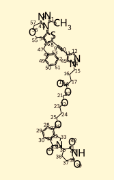 Cc1nnc2n1-c1sc(C#Cc3cnn(CCCC(=O)OCOCCCOc4cccc5c4CN(C4CCC(=O)NC4=O)C5=O)c3)c(Cc3ccccc3)c1COC2